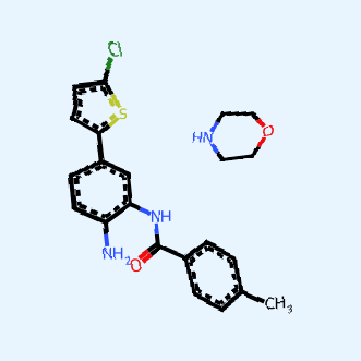 C1COCCN1.Cc1ccc(C(=O)Nc2cc(-c3ccc(Cl)s3)ccc2N)cc1